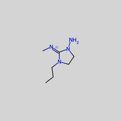 CCCN1CCN(N)/C1=N/C